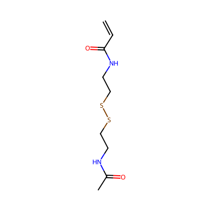 C=CC(=O)NCCSSCCNC(C)=O